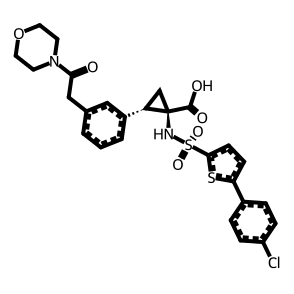 O=C(Cc1cccc([C@@H]2C[C@]2(NS(=O)(=O)c2ccc(-c3ccc(Cl)cc3)s2)C(=O)O)c1)N1CCOCC1